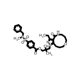 CCc1nn(CC(C)(C)COC(=O)c2ccc(S(=O)(=O)N(C)Cc3ccccc3)cc2)c2c1C(=O)NCCCOCCC2